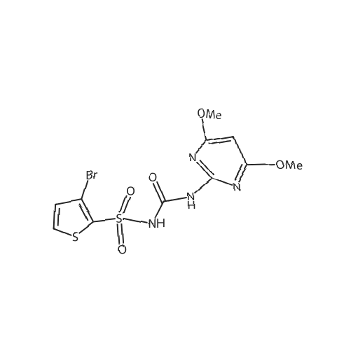 COc1cc(OC)nc(NC(=O)NS(=O)(=O)c2sccc2Br)n1